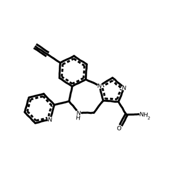 C#Cc1ccc2c(c1)C(c1ccccn1)NCc1c(C(N)=O)ncn1-2